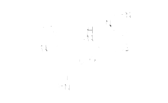 O=C(Nc1cc2cccnc2cc1OC1CCNC1)c1csc2cncnc12